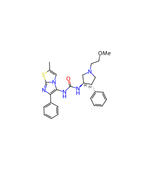 COCCN1C[C@H](NC(=O)Nc2c(-c3ccccc3)nc3sc(C)cn23)[C@@H](c2ccccc2)C1